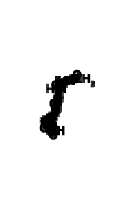 CC(=O)N1CCC(COc2cc(F)c3c(=O)[nH]c(CSC4CCN(CC(=O)N5CCC(CN6CCN(c7cccc8c7C(=O)N(C7CCC(=O)NC7=O)C8=O)CC6)CC5)CC4)nc3c2)CC1